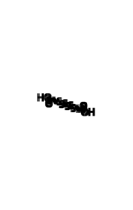 O=C(O)CCSSSSSSCCC(=O)O